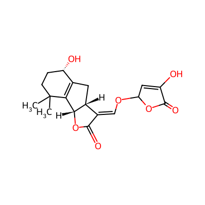 CC1(C)CC[C@H](O)C2=C1[C@H]1OC(=O)/C(=C/OC3C=C(O)C(=O)O3)[C@H]1C2